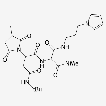 CNC(=O)C(NC(=O)C(CC(=O)NC(C)(C)C)N1C(=O)CC(C)C1=O)C(=O)NCCCn1cccc1